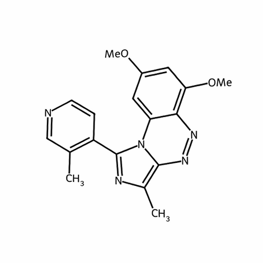 COc1cc(OC)c2nnc3c(C)nc(-c4ccncc4C)n3c2c1